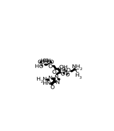 CC(N)COP(=O)(O)OC1C(O)C(COP(=O)(O)CP(=O)(O)O)OC1n1cnc2c(=O)[nH]c(N)nc21